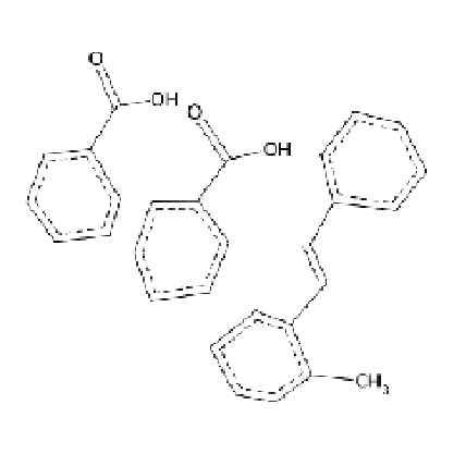 Cc1ccccc1C=Cc1ccccc1.O=C(O)c1ccccc1.O=C(O)c1ccccc1